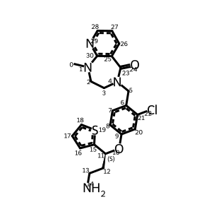 CN1CCN(Cc2ccc(O[C@@H](CCN)c3cccs3)cc2Cl)C(=O)c2cccnc21